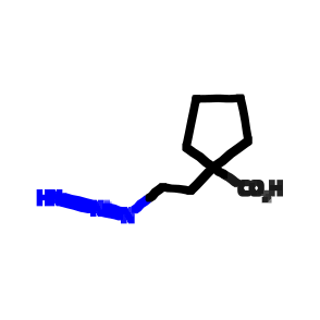 N=[N+]=NCCC1(C(=O)O)CCCC1